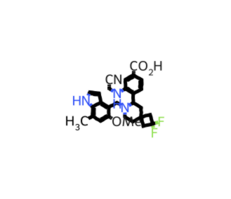 COc1cc(C)c2[nH]ccc2c1CN1CCC2(CC1c1ccc(C(=O)O)cc1NCC#N)CC(F)(F)C2